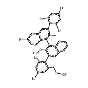 CCc1cc(CC)c(-c2cc3cc(Br)ccc3c(-c3c(ON)c(-c4c(CC)cc(CC)cc4COO)cc4ccccc34)c2C)c(CC)c1